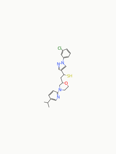 CC(C)c1ccc(N2CCOC(CC(S)c3cnn(-c4cccc(Cl)c4)c3)C2)nc1